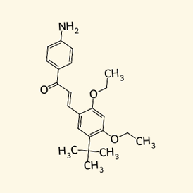 CCOc1cc(OCC)c(C(C)(C)C)cc1C=CC(=O)c1ccc(N)cc1